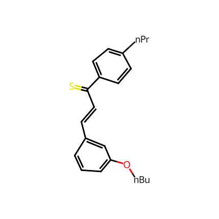 CCCCOc1cccc(C=CC(=S)c2ccc(CCC)cc2)c1